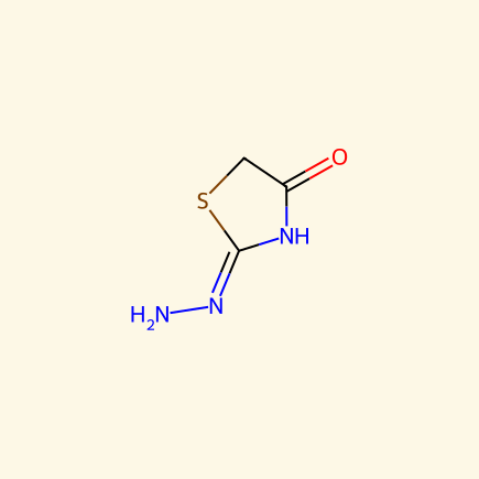 NN=C1NC(=O)CS1